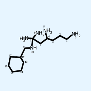 NCCCC(N)CC(N)(N)NCC1CCCCC1